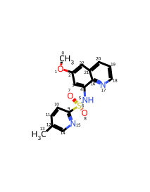 COc1cc(NS(=O)(=O)c2ccc(C)cn2)c2ncccc2c1